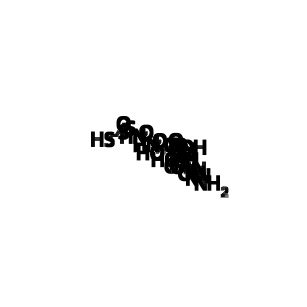 CC(C)(COP(=O)(O)OP(=O)(O)OCC1OC(C)(n2cnc3c(N)ncnc32)C(O)C1OP(=O)(O)O)C(O)C(=O)NCCC(=O)NCCSC(=O)SCCCS